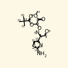 COC(=O)C(ON=C([C]=O)c1csc(N)n1)OC(=O)C(C)(C)C